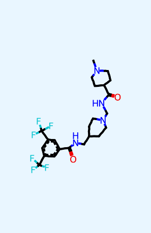 CN1CCC(C(=O)NCN2CCC(CNC(=O)c3cc(C(F)(F)F)cc(C(F)(F)F)c3)CC2)CC1